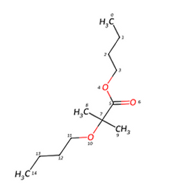 CCCCOC(=O)C(C)(C)OCCCC